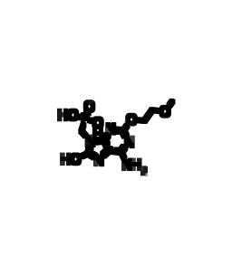 COCCOc1nc(N)c2nc(O)n(CP(=O)(O)O)c2n1